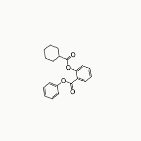 O=C(Oc1ccccc1)c1ccccc1OC(=O)C1CCCCC1